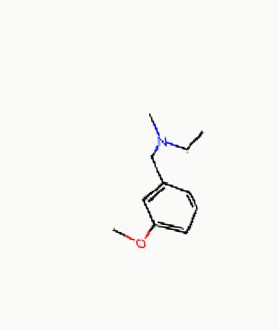 C[CH]N(C)Cc1cccc(OC)c1